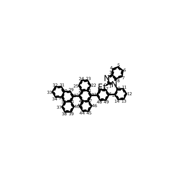 CCc1nc2ccccc2n1-c1ccccc1-c1ccc(-c2c3ccccc3c(-c3cc4ccccc4c4ccccc34)c3ccccc23)cc1